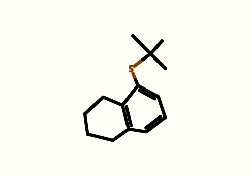 CC(C)(C)Sc1cccc2c1CCCC2